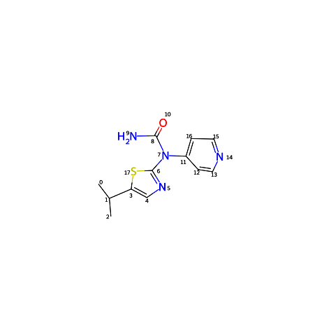 CC(C)c1cnc(N(C(N)=O)c2ccncc2)s1